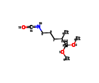 CCO[SiH](OCC)C(CC)CCCN=C=O